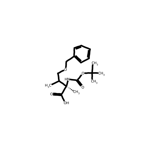 CC(COCc1ccccc1)[C@@](C)(NC(=O)OC(C)(C)C)C(=O)O